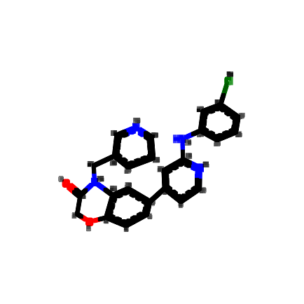 O=C1COc2ccc(-c3ccnc(Nc4cccc(Cl)c4)c3)cc2N1Cc1cccnc1